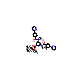 CN(C(=O)c1ccc(-c2ccccn2)cc1)c1cc(B2OC(C)(C)C(C)(C)O2)cc(N(C)C(=O)c2ccc(-c3ccccn3)cc2)c1